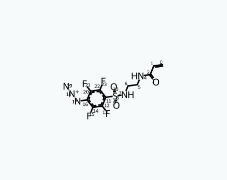 C=CC(=O)NCCNS(=O)(=O)c1c(F)c(F)c(N=[N+]=[N-])c(F)c1F